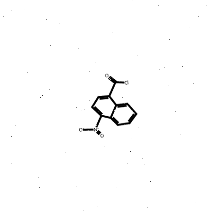 O=C(Cl)c1ccc([N+](=O)[O-])c2ccccc12